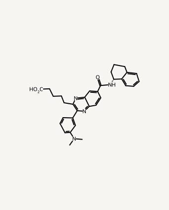 CN(C)c1cccc(-c2nc3ccc(C(=O)N[C@@H]4CCCc5ccccc54)cc3nc2CCCCC(=O)O)c1